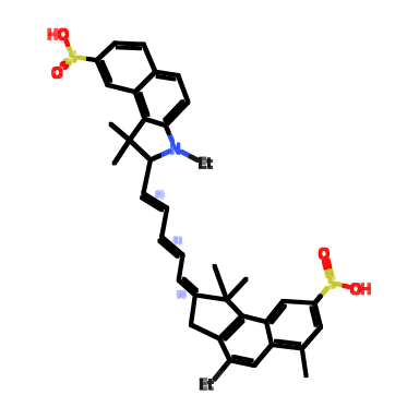 CCc1cc2c(C)cc(S(=O)O)cc2c2c1C/C(=C/C=C/C=C/C1N(CC)c3ccc4ccc(S(=O)O)cc4c3C1(C)C)C2(C)C